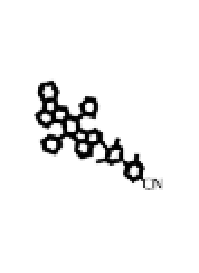 Cc1cc(C#N)ccc1-c1cc(C)c(-c2ccc3c4c(-c5ccccc5)c5cc6c7ccccc7c7cccc(c5c(-c5ccccc5)c4c4cccc2c34)c76)c(C)c1